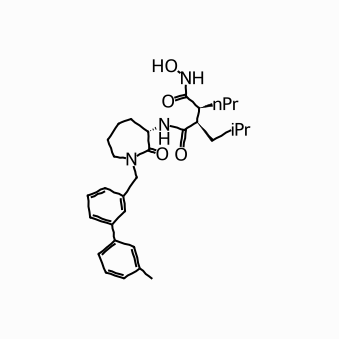 CCC[C@H](C(=O)NO)[C@@H](CC(C)C)C(=O)N[C@H]1CCCCN(Cc2cccc(-c3cccc(C)c3)c2)C1=O